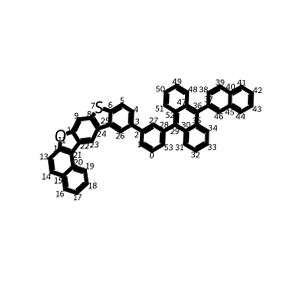 c1cc(-c2ccc3sc4cc5oc6ccc7ccccc7c6c5cc4c3c2)cc(-c2c3ccccc3c(-c3ccc4ccccc4c3)c3ccccc23)c1